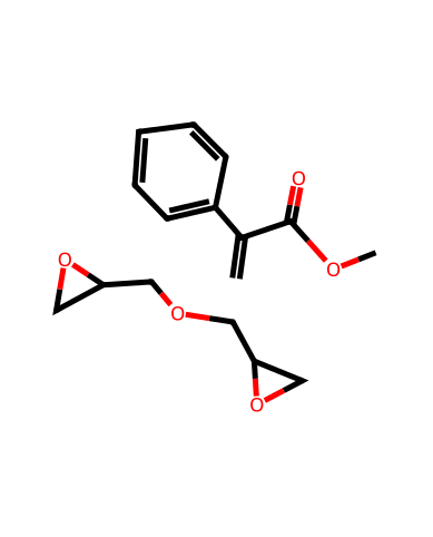 C(OCC1CO1)C1CO1.C=C(C(=O)OC)c1ccccc1